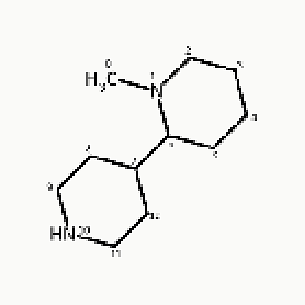 CN1CCCCC1C1CCNCC1